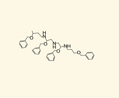 CC(CCNC(CNCC(NCCCOCc1ccccc1)OCc1ccccc1)OCc1ccccc1)OCc1ccccc1